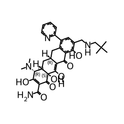 CN(C)[C@H]1C(O)=C(C(N)=O)C(=O)[C@@]2(O)C(O)=C3C(=O)c4c(O)c(CNCC(C)(C)C)cc(-c5ccccn5)c4C[C@H]3C[C@@H]12